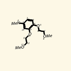 CNc1ccc(OCCOC)c(OCCOC)c1